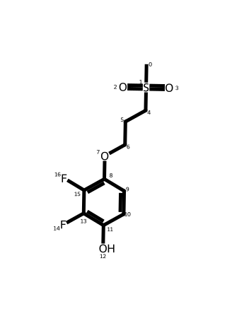 CS(=O)(=O)CCCOc1ccc(O)c(F)c1F